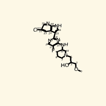 COCC(O)CN1CCCC(Nc2nc(-c3c[nH]c4ncc(Cl)cc34)ncc2F)C1